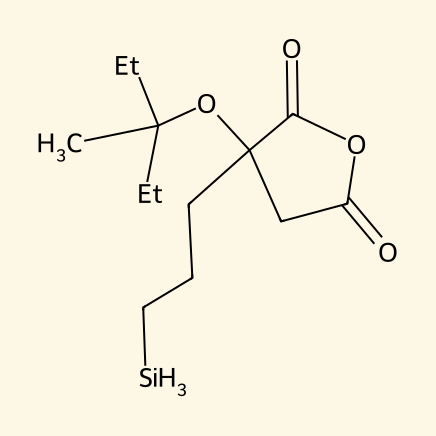 CCC(C)(CC)OC1(CCC[SiH3])CC(=O)OC1=O